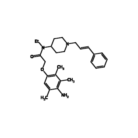 CCN(C(=O)COc1cc(C)c(N)c(C)c1C)C1CCN(CC=Cc2ccccc2)CC1